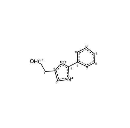 O=CCc1cnc(-c2ccccc2)s1